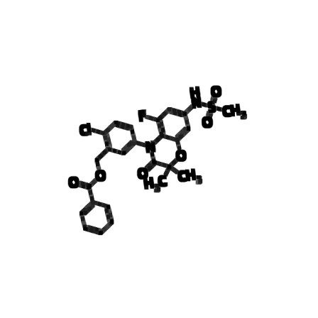 CC1(C)Oc2cc(NS(C)(=O)=O)cc(F)c2N(c2ccc(Cl)c(COC(=O)c3ccccc3)c2)C1=O